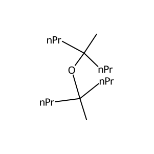 CCCC(C)(CCC)OC(C)(CCC)CCC